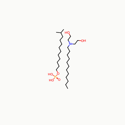 CC(C)CCCCCCCCCCOP(=O)(O)O.CCCCCCCCCCCCN(CCO)CCO